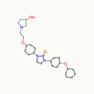 O=c1n(-c2ccc(OCCN3CCC(O)C3)cc2)ccn1-c1ccc(Oc2ccccc2)cc1